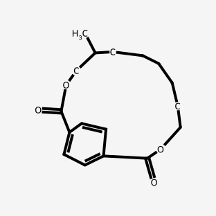 CC1CCCCCCOC(=O)c2ccc(cc2)C(=O)OC1